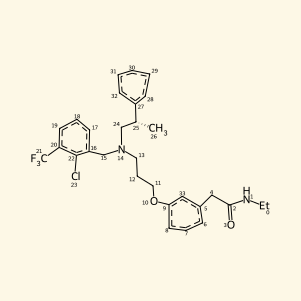 CCNC(=O)Cc1cccc(OCCCN(Cc2cccc(C(F)(F)F)c2Cl)C[C@@H](C)c2ccccc2)c1